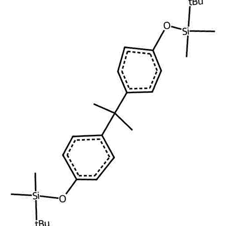 CC(C)(c1ccc(O[Si](C)(C)C(C)(C)C)cc1)c1ccc(O[Si](C)(C)C(C)(C)C)cc1